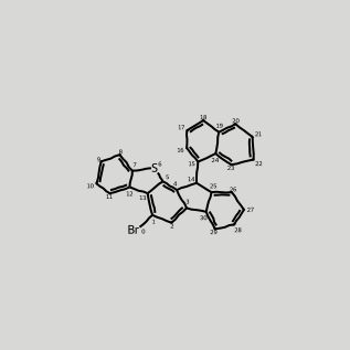 Brc1cc2c(c3sc4ccccc4c13)C(c1cccc3ccccc13)c1ccccc1-2